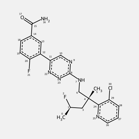 C[C@@H](F)C[C@](C)(CNc1ncc(-c2cc(C(N)=O)ccc2F)nn1)c1ncccc1Cl